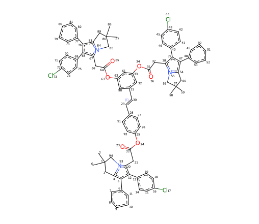 CC1(C)Cc2c(-c3ccccc3)c(-c3ccc(Cl)cc3)c(CC(=O)Oc3ccc(/C=C/c4cc(OC(=O)Cc5c(-c6ccc(Cl)cc6)c(-c6ccccc6)c6n5CC(C)(C)C6)cc(OC(=O)Cc5c(-c6ccc(Cl)cc6)c(-c6ccccc6)c6n5CC(C)(C)C6)c4)cc3)n2C1